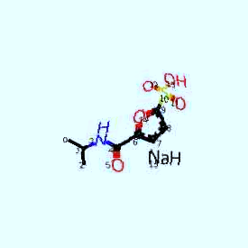 CC(C)NC(=O)c1ccc(S(=O)(=O)O)o1.[NaH]